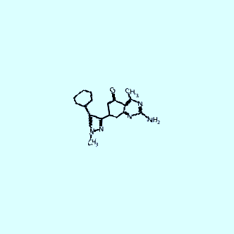 Cc1nc(N)nc2c1C(=O)CC(c1nn(C)cc1C1CCCCC1)C2